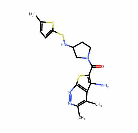 Cc1ccc(SNC2CCN(C(=O)c3sc4nnc(C)c(C)c4c3N)C2)s1